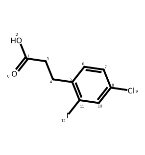 O=C(O)CCc1ccc(Cl)cc1I